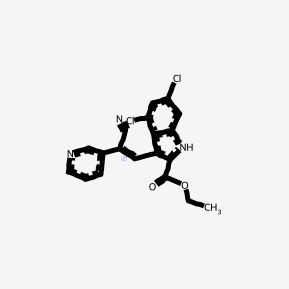 CCOC(=O)c1[nH]c2cc(Cl)cc(Cl)c2c1/C=C(\C#N)c1cccnc1